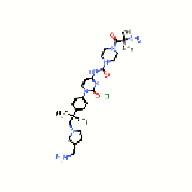 CC(C)(N)C(=O)N1CCN(C(=O)Nc2ccn(-c3ccc(C(C)(C)CN4CC[C@@H](CN)C4)cc3)c(=O)n2)CC1.Cl